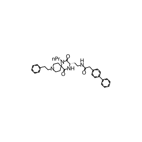 CCCN1C(=O)[C@H](CCNC(=O)Cc2ccc(-c3ccccc3)cc2)NC(=O)C12CCN(CCc1ccccc1)CC2